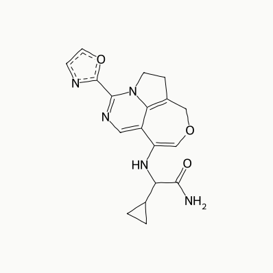 NC(=O)C(NC1=COCC2=C3C1=CN=C(c1ncco1)N3CC2)C1CC1